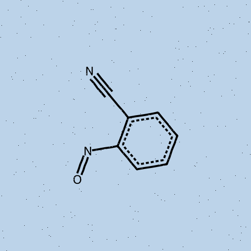 N#Cc1ccccc1N=O